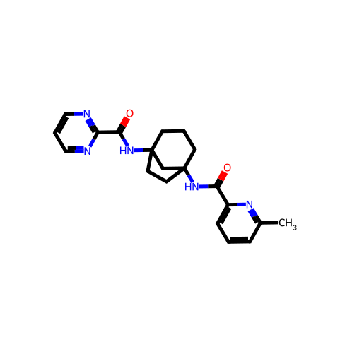 Cc1cccc(C(=O)NC23CCCC(NC(=O)c4ncccn4)(CC2)C3)n1